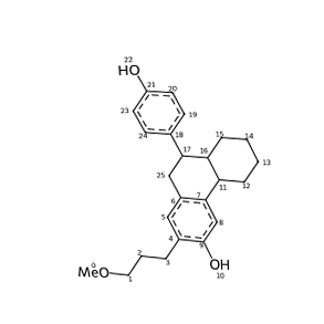 COCCCc1cc2c(cc1O)C1CCCCC1C(c1ccc(O)cc1)C2